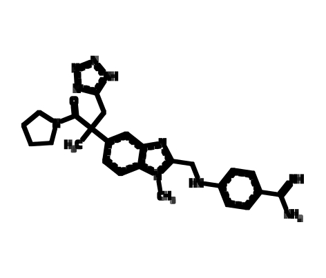 Cn1c(CNc2ccc(C(=N)N)cc2)nc2cc(C(C)(Cc3nnn[nH]3)C(=O)N3CCCC3)ccc21